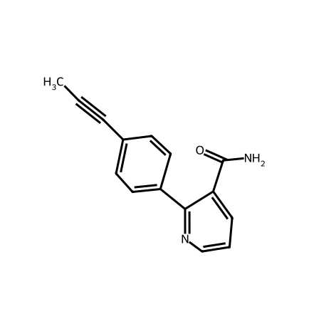 CC#Cc1ccc(-c2ncccc2C(N)=O)cc1